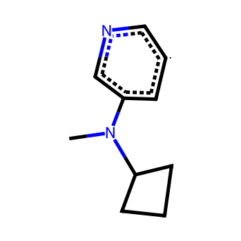 CN(c1c[c]cnc1)C1CCC1